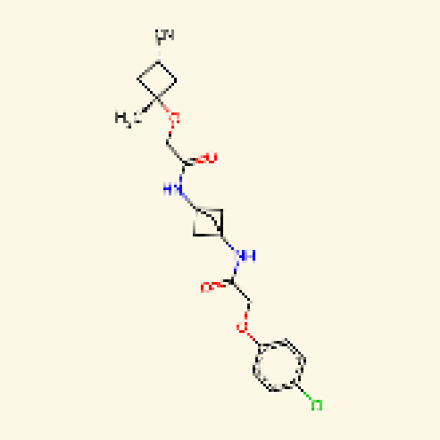 C[C@]1(OCC(=O)NC23CC(NC(=O)COc4ccc(Cl)cc4)(C2)C3)C[C@@H](C#N)C1